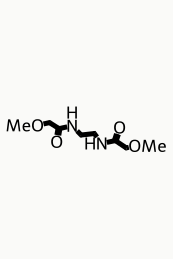 COCC(=O)NCCNC(=O)COC